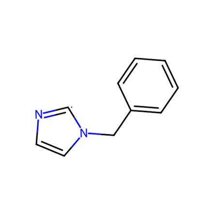 [c]1nccn1Cc1ccccc1